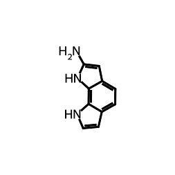 Nc1cc2ccc3cc[nH]c3c2[nH]1